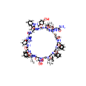 CCCC[C@H]1C(=O)N(C)CC(=O)N[C@@H](CC(=O)O)C(=O)N[C@@H](C(C)C)C(=O)N(C)C(Cc2ccccc2)C(=O)NC2(CCCCC2)c2nnnn2CC(=O)N[C@@H](Cc2c[nH]c3ccccc23)C(=O)N[C@@H](Cc2ccc(O)cc2)C(=O)N[C@@H](CC(C)C)C(=O)N[C@H](C(=O)NCC(N)=O)CSCC(=O)N[C@@H](Cc2ccccc2)C(=O)N(C)[C@@H](Cc2ccccc2)C(=O)N1C